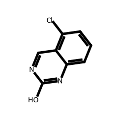 Oc1ncc2c(Cl)cccc2n1